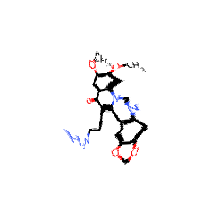 COc1cc2c(=O)c(CCN)c3c4cc5c(cc4ncn3c2cc1OC)OCO5